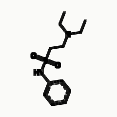 CCN(CC)CCS(=O)(=O)Nc1ccccc1